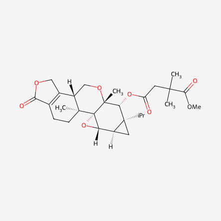 COC(=O)C(C)(C)CC(=O)O[C@@H]1[C@@]2(C(C)C)C[C@H]2[C@@H]2O[C@@]23[C@@]2(C)CCC4=C(COC4=O)[C@@H]2CO[C@]13C